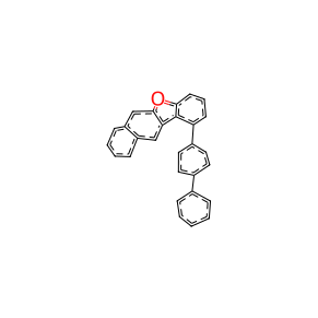 c1ccc(-c2ccc(-c3cccc4oc5cc6ccccc6cc5c34)cc2)cc1